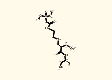 CCOP(=O)(CC(=O)NCCSC[C@@H](NC(=O)O)C(=O)N[C@@H](C)CO)OCC